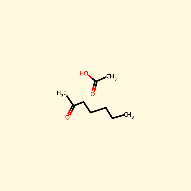 CC(=O)O.CCCCCC(C)=O